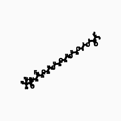 CC(C)C(=O)COCCOCCOCCOCCOCCOCC(F)CNC(=O)C(C)(C)C